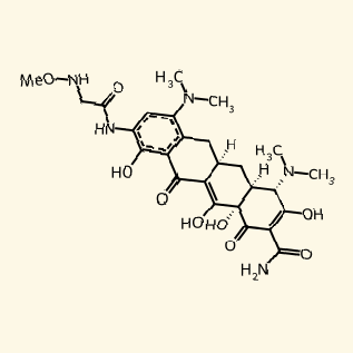 CONCC(=O)Nc1cc(N(C)C)c2c(c1O)C(=O)C1=C(O)[C@]3(O)C(=O)C(C(N)=O)=C(O)[C@@H](N(C)C)[C@@H]3C[C@@H]1C2